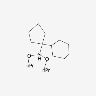 CCCO[SiH](OCCC)C1(C2CCCCC2)CCCC1